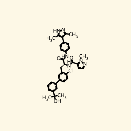 Cc1n[nH]c(C)c1-c1ccc(NC(=O)[C@H](Cc2cc(-c3cccc(C(C)(C)O)c3)ccc2Cl)NC(=O)c2ccnn2C)cc1